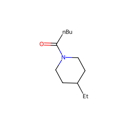 CCCCC(=O)N1CCC(CC)CC1